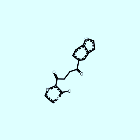 O=C(CCC(=O)c1ncccc1Cl)c1ccc2occc2c1